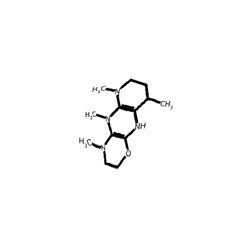 CC1CCN(C)C2=C1NC1=C(N(C)CCO1)N2C